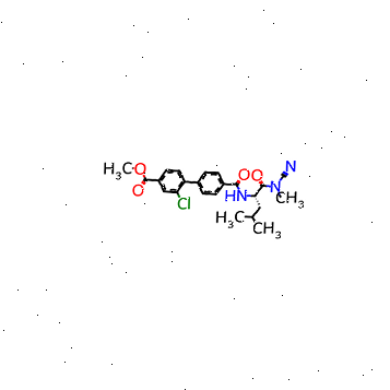 COC(=O)c1ccc(-c2ccc(C(=O)N[C@@H](CC(C)C)C(=O)N(C)C#N)cc2)c(Cl)c1